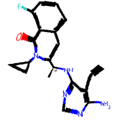 C#Cc1c(N)ncnc1N[C@@H](C)c1cc2cccc(F)c2c(=O)n1C1CC1